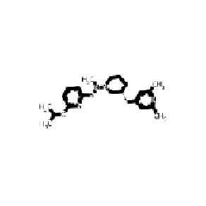 Cc1cc(C[C@H]2CCCN(N(C)Sc3cccc(OC(C)C)n3)C2)cc(C)n1